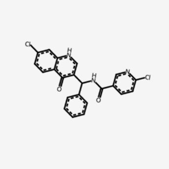 O=C(NC(c1ccccc1)c1c[nH]c2cc(Cl)ccc2c1=O)c1ccc(Cl)nc1